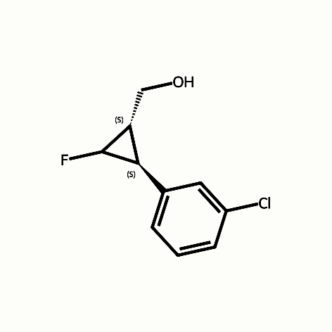 OC[C@H]1C(F)[C@@H]1c1cccc(Cl)c1